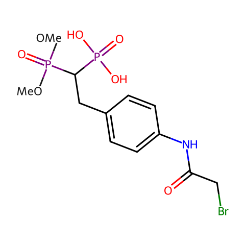 COP(=O)(OC)C(Cc1ccc(NC(=O)CBr)cc1)P(=O)(O)O